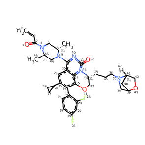 C=CC(=O)N1C[C@H](C)N(c2nc(=O)n3c4c(c(-c5ccc(F)cc5F)c(C5CC5)cc24)OC[C@H]3CCCN2CC3C[C@H]2CO3)C[C@H]1C